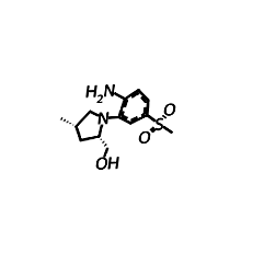 C[C@H]1C[C@@H](CO)N(c2cc(S(C)(=O)=O)ccc2N)C1